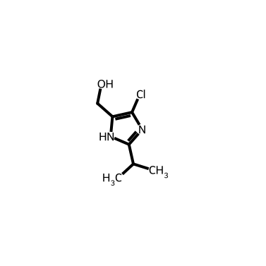 CC(C)c1nc(Cl)c(CO)[nH]1